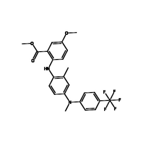 COC(=O)c1cc(OC)ccc1Nc1ccc(N(C)c2ccc(S(F)(F)(F)(F)F)cc2)cc1C